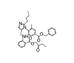 CCCCc1ncc(CNc2ccccc2C(=O)OCC(=O)CC)n1-c1ccc(C(=O)OCc2ccccc2)cc1C